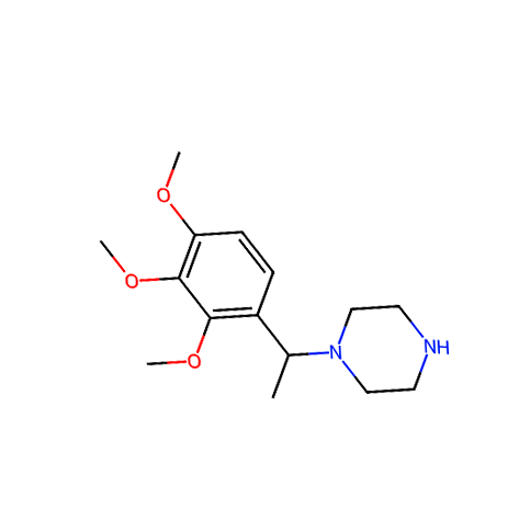 COc1ccc(C(C)N2CCNCC2)c(OC)c1OC